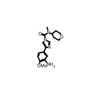 COc1ccc(-c2cn(C(=O)N(C)C3CCOCC3)cn2)cc1N